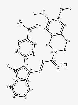 COc1cc2c(cc1OC)CN(C(=O)/C=C/c1c(-c3ccc(C(=O)O)cc3)n(C)c3ncccc13)CC2.Cl